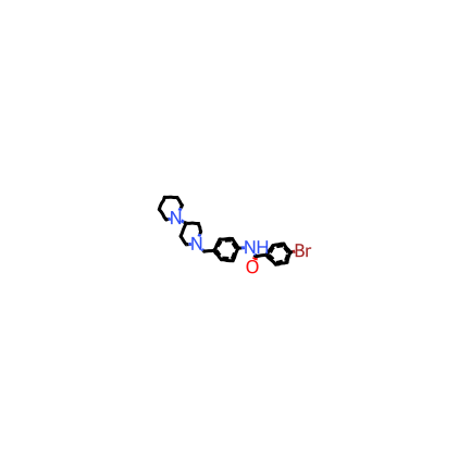 O=C(Nc1ccc(CN2CCC(N3CCCCC3)CC2)cc1)c1ccc(Br)cc1